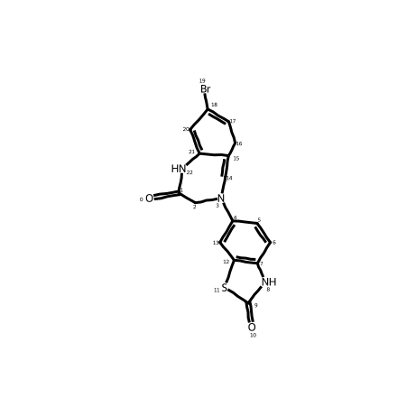 O=C1CN(c2ccc3[nH]c(=O)sc3c2)C=C2CC=C(Br)C=C2N1